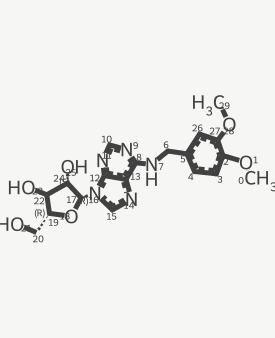 COc1ccc(CNc2ncnc3c2ncn3[C@@H]2O[C@H](CO)C(O)[C@@H]2O)cc1OC